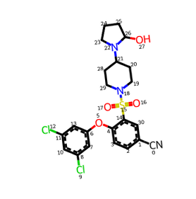 N#Cc1ccc(Oc2cc(Cl)cc(Cl)c2)c(S(=O)(=O)N2CCC(N3CCCC3O)CC2)c1